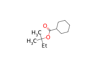 CCC(C)(C)OC(=O)C1CCCCC1